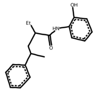 CCC(CC(C)c1ccccc1)C(=O)Nc1ccccc1O